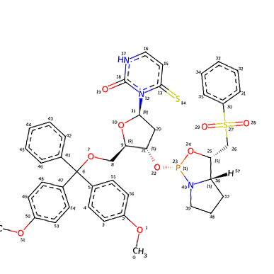 COc1ccc(C(OC[C@H]2O[C@@H](n3c(=S)cc[nH]c3=O)C[C@@H]2O[P@]2O[C@H](CS(=O)(=O)c3ccccc3)[C@@H]3CCCN32)(c2ccccc2)c2ccc(OC)cc2)cc1